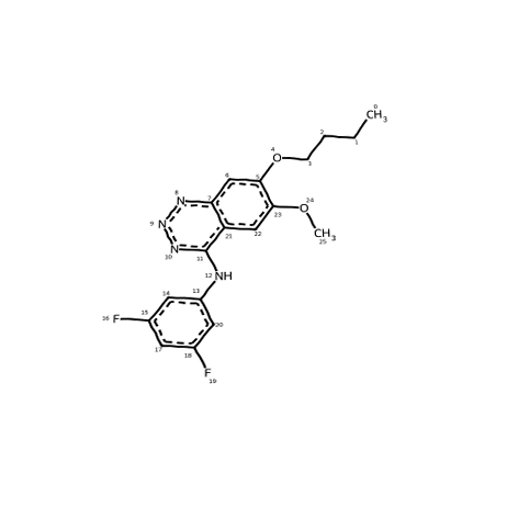 CCCCOc1cc2nnnc(Nc3cc(F)cc(F)c3)c2cc1OC